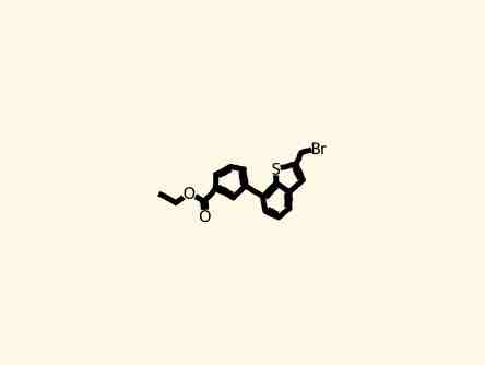 CCOC(=O)c1cccc(-c2cccc3cc(CBr)sc23)c1